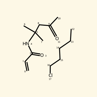 C=CC(=O)NC(C)(C)CC(C)=O.CCCCCCl